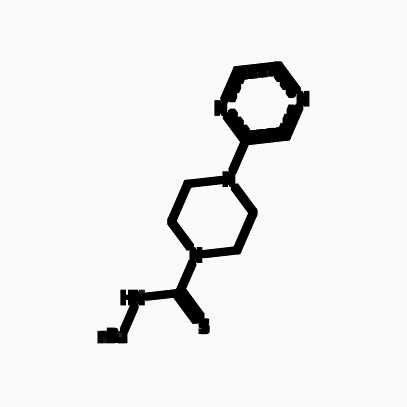 CCCCNC(=S)N1CCN(c2cnccn2)CC1